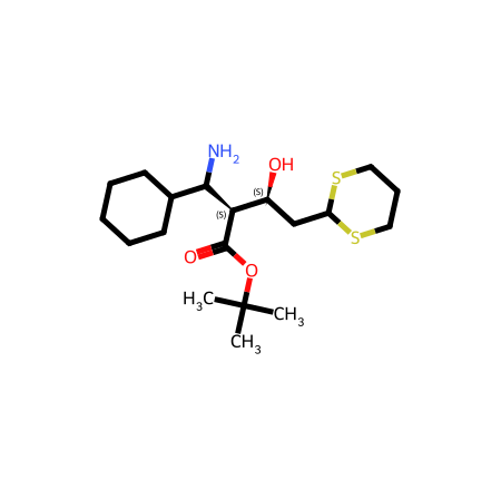 CC(C)(C)OC(=O)[C@@H](C(N)C1CCCCC1)[C@@H](O)CC1SCCCS1